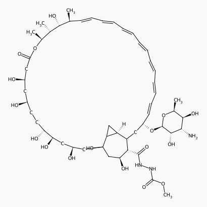 COC(=O)NNC(=O)[C@H]1C2C[C@@H](O[C@H]3O[C@@H](C)[C@@H](O)[C@H](N)[C@@H]3O)/C=C/C=C/C=C/C=C/C=C/C=C/C=C/[C@H](C)[C@@H](O)[C@@H](C)[C@H](C)OC(=O)C[C@H](O)C[C@H](O)CC[C@@H](O)[C@H](O)C[C@H](O)CC(O)(C[C@@H]1O)C1C[C@@H]21